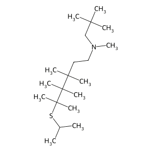 CC(C)SC(C)(C)C(C)(C)C(C)(C)CCN(C)CC(C)(C)C